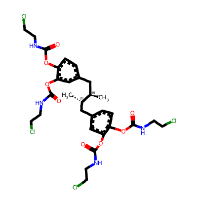 C[C@H](Cc1ccc(OC(=O)NCCCl)c(OC(=O)NCCCl)c1)[C@@H](C)Cc1ccc(OC(=O)NCCCl)c(OC(=O)NCCCl)c1